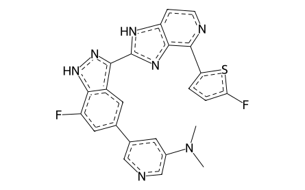 CN(C)c1cncc(-c2cc(F)c3[nH]nc(-c4nc5c(-c6ccc(F)s6)nccc5[nH]4)c3c2)c1